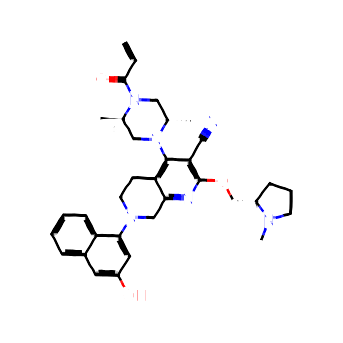 C=CC(=O)N1C[C@H](C)N(c2c(C#N)c(OC[C@@H]3CCCN3C)nc3c2CCN(c2cc(O)cc4ccccc24)C3)C[C@H]1C